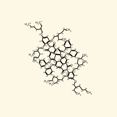 CCCCC(CC)COc1cc(OCC(CC)CCCC)c(N2C(=O)c3cc(Oc4ccccc4)c4c5c(Oc6ccccc6)cc6c7c(cc(Oc8ccccc8)c(c8c(Oc9ccccc9)cc(c3c48)C2=O)c75)C(=O)N(c2c(OCC(CC)CCCC)cc(OCC(CC)CCCC)cc2OCC(CC)CCCC)C6=O)c(OCC(CC)CCCC)c1